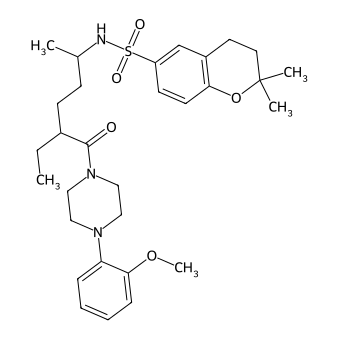 CCC(CCC(C)NS(=O)(=O)c1ccc2c(c1)CCC(C)(C)O2)C(=O)N1CCN(c2ccccc2OC)CC1